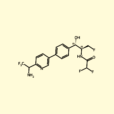 NC(c1ccc(-c2ccc([C@H](O)[C@@H](CF)NC(=O)C(F)F)cc2)cn1)C(F)(F)F